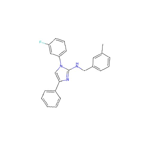 Cc1cccc(CNc2nc(-c3ccccc3)cn2-c2cccc(F)c2)c1